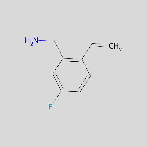 C=Cc1ccc(F)cc1CN